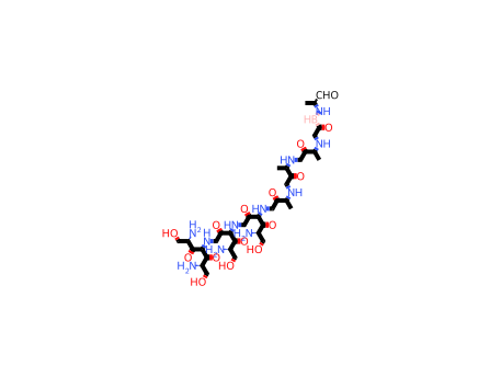 CC(NCC(=O)BN[C@@H](C)C=O)C(=O)CNC(C)C(=O)CNC(C)C(=O)CNC(C(=O)CNC(C(=O)CNC(C(=O)[C@@H](N)CO)C(=O)[C@@H](N)CO)C(=O)[C@@H](N)CO)C(=O)[C@@H](N)CO